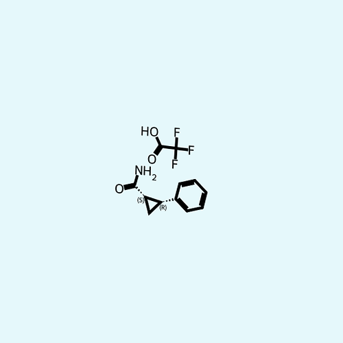 NC(=O)[C@H]1C[C@H]1c1ccccc1.O=C(O)C(F)(F)F